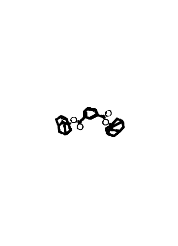 O=C(OC12CC3CC(CC(C3)C1)C2)c1cccc(C(=O)OC23CC4CC(CC(C4)C2)C3)c1